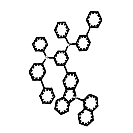 c1ccc(-c2cccc(N(c3ccccc3)c3cc(-c4ccc5c(c4)c4ccccc4n5-c4cccc5ccccc45)cc(N(c4ccccc4)c4cccc(-c5ccccc5)c4)c3)c2)cc1